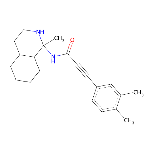 Cc1ccc(C#CC(=O)NC2(C)NCCC3CCCCC32)cc1C